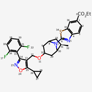 CCOC(=O)c1ccc2nc(N3C4CC(OCc5c(-c6c(F)cccc6F)noc5C5CC5)CC3[C@H](C)C4)sc2c1